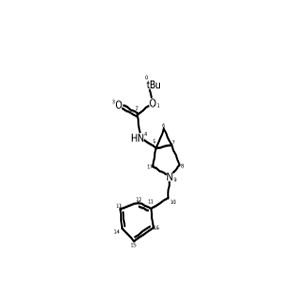 CC(C)(C)OC(=O)NC12CC1CN(Cc1ccccc1)C2